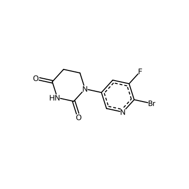 O=C1CCN(c2cnc(Br)c(F)c2)C(=O)N1